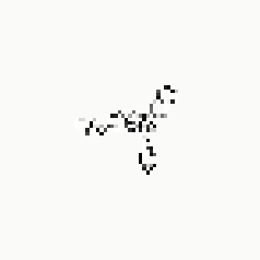 O=S(=O)(CCN1CCOCC1)N(Cc1ccc(OC(F)(F)F)cc1)c1ccc2ccccc2c1